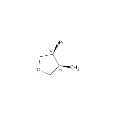 CC(C)[C@@H]1COC[C@@H]1C